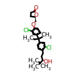 CCC(CC)(c1ccc(CC[C@@H](O)C(C)(C)C)c(Cl)c1)c1ccc(OC[C@H]2CCC(=O)O2)c(Cl)c1